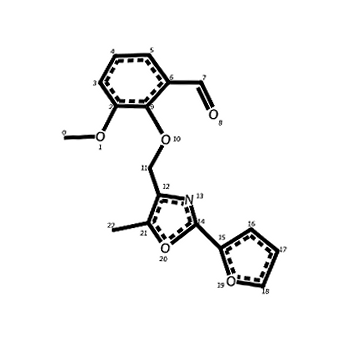 COc1cccc(C=O)c1OCc1nc(-c2ccco2)oc1C